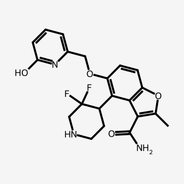 Cc1oc2ccc(OCc3cccc(O)n3)c(C3CCNCC3(F)F)c2c1C(N)=O